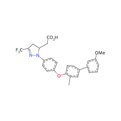 COc1cccc(-c2ccc(Oc3ccc(N4N=C(C(F)(F)F)CC4CC(=O)O)cc3)c(C)c2)c1